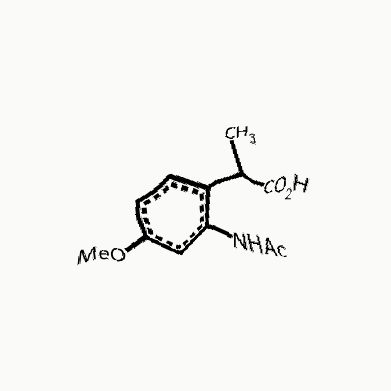 COc1ccc(C(C)C(=O)O)c(NC(C)=O)c1